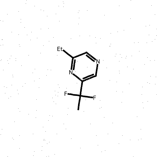 CCc1cncc(C(C)(F)F)n1